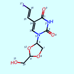 O=c1[nH]c(=O)n(C2COC(CO)O2)cc1/C=C/I